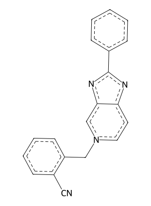 N#Cc1ccccc1Cn1ccc2nc(-c3ccccc3)nc-2c1